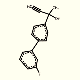 C#CC(C)(O)c1ccc(-c2cccc(F)c2)cc1